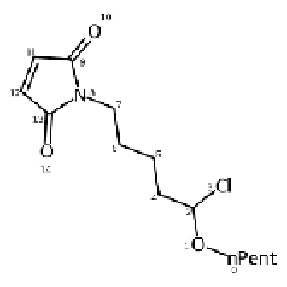 CCCCCOC(Cl)CCCCN1C(=O)C=CC1=O